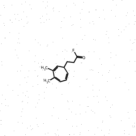 CC1=CC=CC(CCC(=O)F)C=C1C